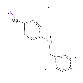 [I][Mg][c]1ccc(OCc2ccccc2)cc1